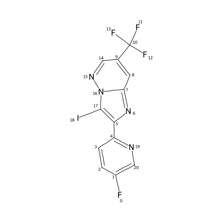 Fc1ccc(-c2nc3cc(C(F)(F)F)cnn3c2I)nc1